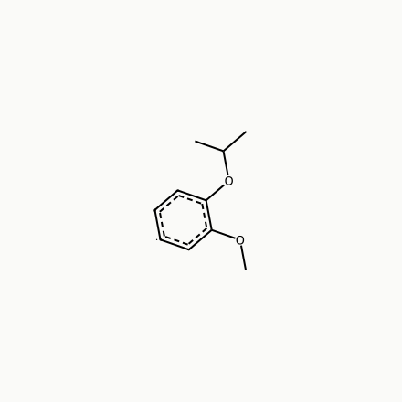 COc1c[c]ccc1OC(C)C